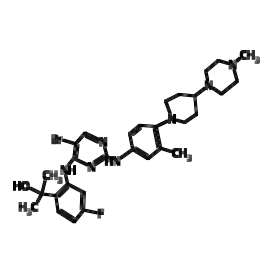 Cc1cc(Nc2ncc(Br)c(Nc3cc(F)ccc3C(C)(C)O)n2)ccc1N1CCC(N2CCN(C)CC2)CC1